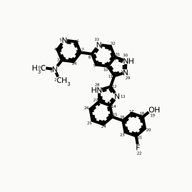 CN(C)c1cncc(-c2cc3c(-c4nc5c(-c6cc(O)cc(F)c6)cccc5[nH]4)n[nH]c3cn2)c1